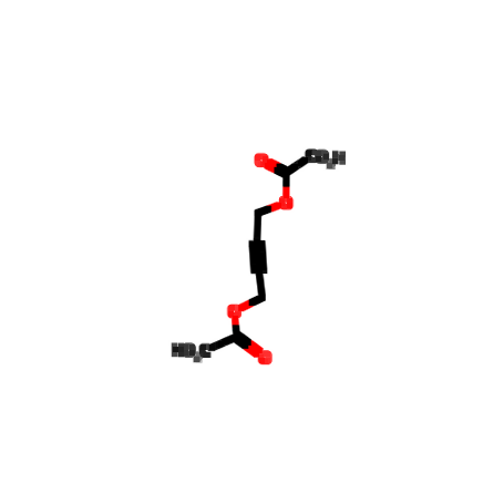 O=C(O)C(=O)OCC#CCOC(=O)C(=O)O